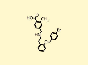 Cc1cc(CNCCc2ccccc2OCc2ccc(Br)cc2)ccc1C(=O)O